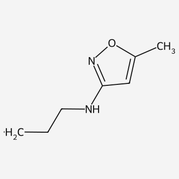 [CH2]CCNc1cc(C)on1